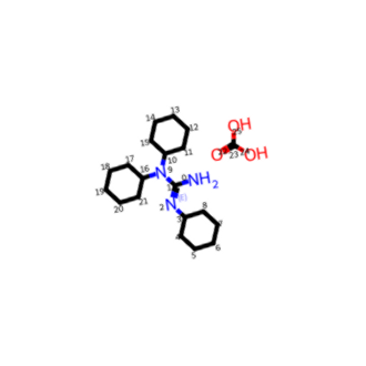 N/C(=N\C1CCCCC1)N(C1CCCCC1)C1CCCCC1.O=C(O)O